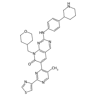 Cc1cnc(-c2cscn2)nc1-c1cc2cnc(Nc3ccc(C4CCCNC4)cc3)nc2n(CC2CCOCC2)c1=O